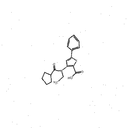 CCN(C(=O)C1CCCC1)c1cc(-c2ccccc2)sc1C(=O)O